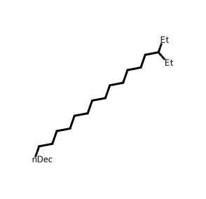 [CH2]CCCCCCCCCCCCCCCCCCCCCCC(C[CH2])CC